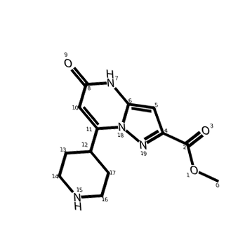 COC(=O)c1cc2[nH]c(=O)cc(C3CCNCC3)n2n1